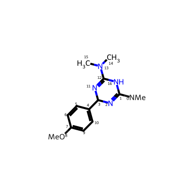 CNC1=NC(c2ccc(OC)cc2)N=C(N(C)C)N1